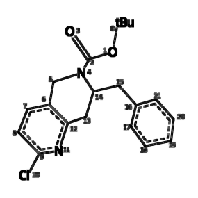 CC(C)(C)OC(=O)N1Cc2ccc(Cl)nc2CC1Cc1ccccc1